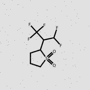 O=S1(=O)CCCC1C(C(F)F)C(F)(F)F